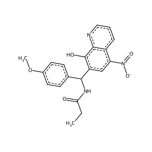 CCC(=O)NC(c1ccc(OC)cc1)c1cc([N+](=O)[O-])c2cccnc2c1O